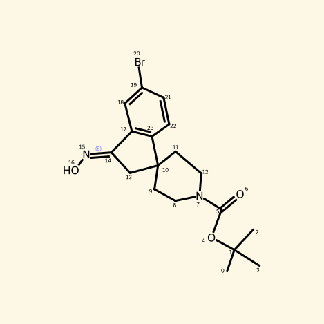 CC(C)(C)OC(=O)N1CCC2(CC1)C/C(=N\O)c1cc(Br)ccc12